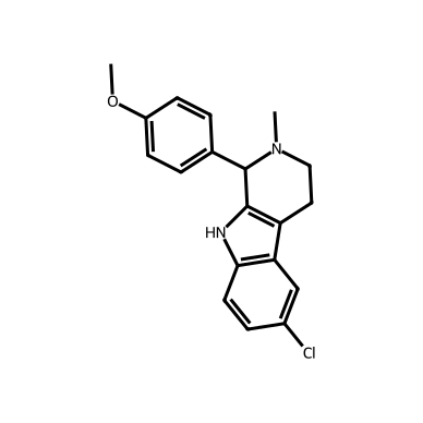 COc1ccc(C2c3[nH]c4ccc(Cl)cc4c3CCN2C)cc1